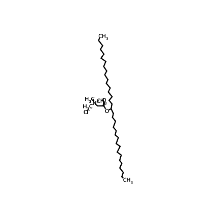 CCCCCCCCCCCCCCCCCC(CCCCCCCCCCCCCCCCC)OC(=O)C[N+](C)(C)C.[Cl-]